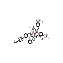 CC(=O)N1CCN(c2ccc(CN(C(=O)C=Cc3ccc(C(F)(F)F)cc3)C(Cc3ccccc3)C(=O)N(C)CCOCc3ccc(C)cc3C)cc2)CC1